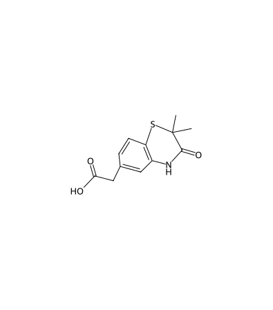 CC1(C)Sc2ccc(CC(=O)O)cc2NC1=O